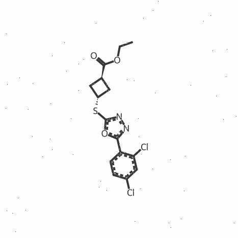 CCOC(=O)[C@H]1C[C@H](Sc2nnc(-c3ccc(Cl)cc3Cl)o2)C1